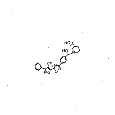 O=C(O)[C@H]1CCCN(C[C@@H](O)c2ccc(-c3noc(-c4snc(-c5ccccc5)c4C(F)(F)F)n3)cc2)C1